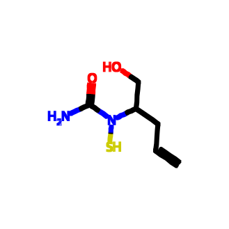 C=CCC(CO)N(S)C(N)=O